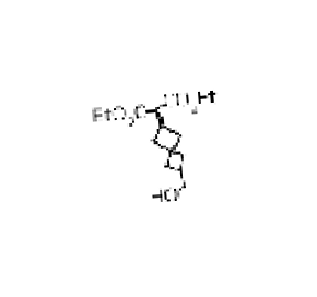 CCOC(=O)C(C(=O)OCC)=C1CC2(C1)CC(CO)C2